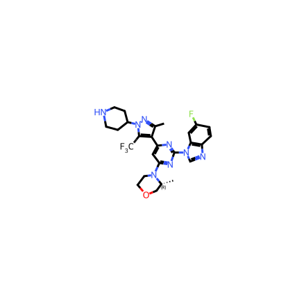 Cc1nn(C2CCNCC2)c(C(F)(F)F)c1-c1cc(N2CCOC[C@H]2C)nc(-n2cnc3ccc(F)cc32)n1